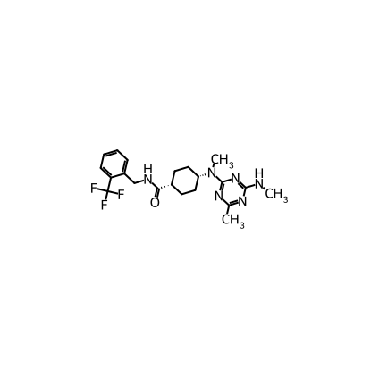 CNc1nc(C)nc(N(C)[C@H]2CC[C@@H](C(=O)NCc3ccccc3C(F)(F)F)CC2)n1